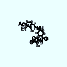 CCc1c(C(C)=O)ccc(CCNC2CCC(C(=O)N(C)C3=C(C)C(=O)OC3)CC2)c1C